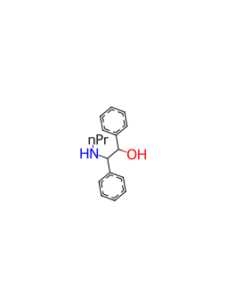 CCCNC(c1ccccc1)C(O)c1ccccc1